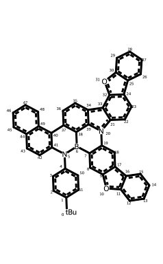 CC(C)(C)c1ccc(N2B3c4cc5oc6ccccc6c5cc4-n4c5ccc6c7ccccc7oc6c5c5ccc(c3c54)-c3c2ccc2ccccc32)cc1